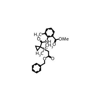 COC(=O)c1cccc(C)c1NC(=O)C1([N+](C)(C)CC(=O)OCc2ccccc2)CC1